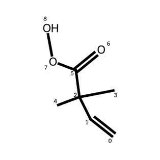 C=CC(C)(C)C(=O)OO